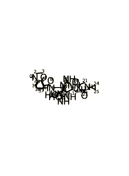 CN1CCOc2c(C(=O)N[C@H]3CN4C(=N)N[C@@H](CN5C(=O)CN(C6CC6)C5=O)C5NC(=N)NC54C3(O)O)cccc21